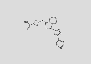 O=C(O)C1CN(Cc2ccc(-c3noc(-c4ccncc4)n3)c3ccccc23)C1